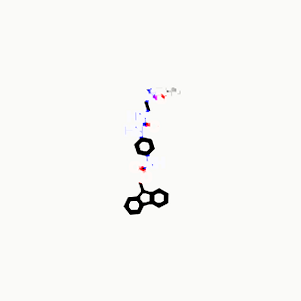 CC(C)(C)ON(C=O)CCNC(=O)Nc1ccc(NC(=O)OCC2c3ccccc3-c3ccccc32)cc1